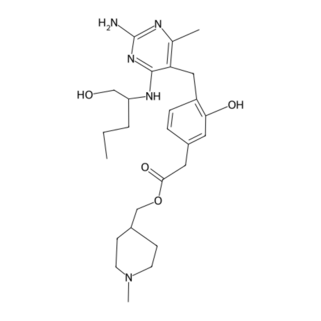 CCCC(CO)Nc1nc(N)nc(C)c1Cc1ccc(CC(=O)OCC2CCN(C)CC2)cc1O